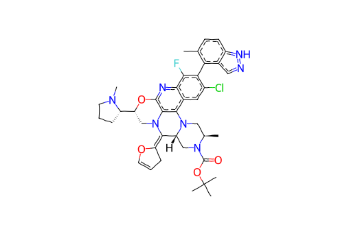 Cc1ccc2[nH]ncc2c1-c1c(Cl)cc2c3c4c(nc2c1F)O[C@@H]([C@@H]1CCCN1C)CN4C(=C1CC=CO1)[C@H]1CN(C(=O)OC(C)(C)C)[C@H](C)CN31